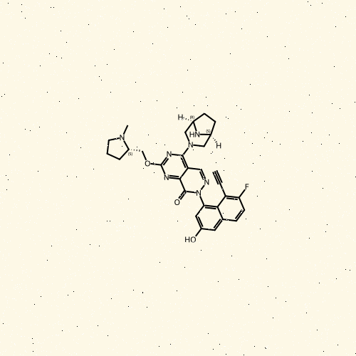 C#Cc1c(F)ccc2cc(O)cc(-n3ncc4c(N5C[C@H]6CC[C@@H](C5)N6)nc(OC[C@@H]5CCCN5C)nc4c3=O)c12